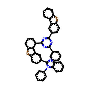 c1ccc(-c2nc(-c3ccc4sc5ccccc5c4c3)nc(-c3cccc4sc5ccc(-c6nc7ccccc7n6-c6ccccc6)cc5c34)n2)cc1